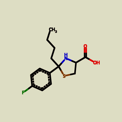 CCCCC1(c2ccc(F)cc2)NC(C(=O)O)CS1